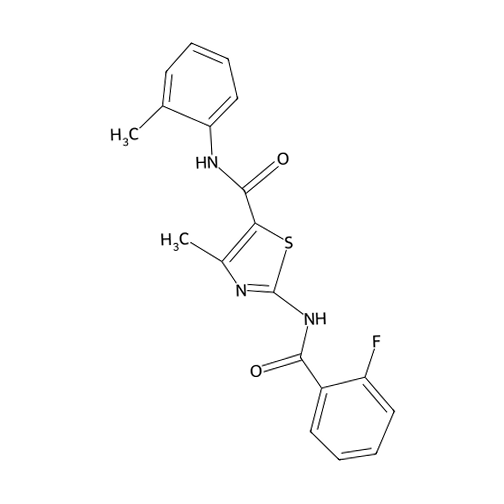 Cc1ccccc1NC(=O)c1sc(NC(=O)c2ccccc2F)nc1C